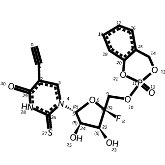 C#Cc1cn([C@@H]2O[C@](F)(COP3(=O)OCc4ccccc4O3)[C@@H](O)[C@H]2O)c(=S)[nH]c1=O